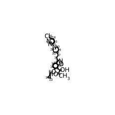 CC(O)C(O)c1c(OCC2CC2)ccc2c(CCC3CCN(c4ccc(Cl)nn4)CC3)noc12